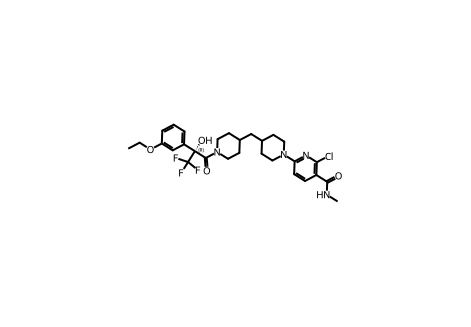 CCOc1cccc([C@@](O)(C(=O)N2CCC(CC3CCN(c4ccc(C(=O)NC)c(Cl)n4)CC3)CC2)C(F)(F)F)c1